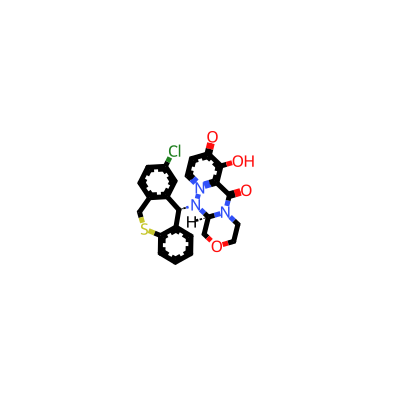 O=C1c2c(O)c(=O)ccn2N([C@H]2c3cc(Cl)ccc3CSc3ccccc32)[C@@H]2COCCN12